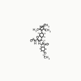 CCOc1ccc2c(c1)C(=O)N(C[C@H](NC(=O)NC=O)c1ccc(-c3c(C)nn(C)c3C)cc1)C2